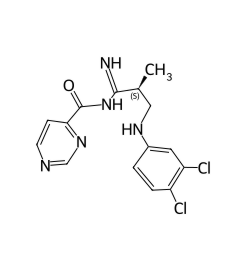 C[C@@H](CNc1ccc(Cl)c(Cl)c1)C(=N)NC(=O)c1ccncn1